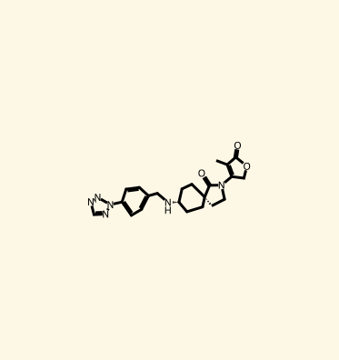 CC1=C(N2CC[C@]3(CC[C@@H](NCc4ccc(-n5ncnn5)cc4)CC3)C2=O)COC1=O